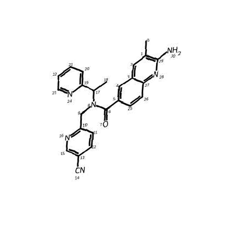 Cc1cc2cc(C(=O)N(Cc3ccc(C#N)cn3)C(C)c3ccccn3)ccc2nc1N